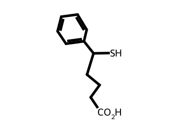 O=C(O)CCCC(S)c1ccccc1